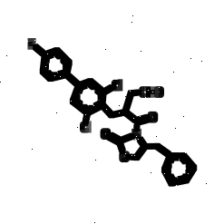 O=CCC(Cc1c(Cl)cc(-c2ccc(F)cc2)cc1Cl)C(=O)N1C(=O)OCC1Cc1ccccc1